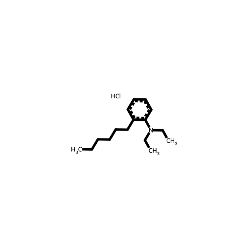 CCCCCCc1ccccc1N(CC)CC.Cl